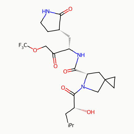 CC(C)C[C@@H](O)C(=O)N1CC2(CC2)C[C@H]1C(=O)N[C@@H](C[C@@H]1CCNC1=O)C(=O)COC(F)(F)F